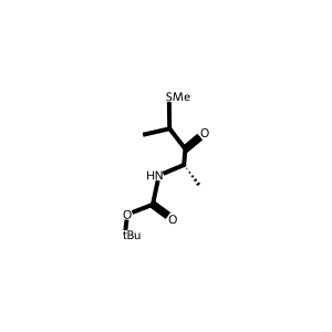 CSC(C)C(=O)[C@H](C)NC(=O)OC(C)(C)C